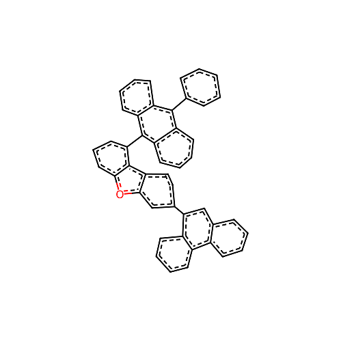 c1ccc(-c2c3ccccc3c(-c3cccc4oc5cc(-c6cc7ccccc7c7ccccc67)ccc5c34)c3ccccc23)cc1